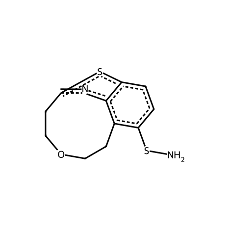 NSc1ccc2sc3nc2c1CCOCC3